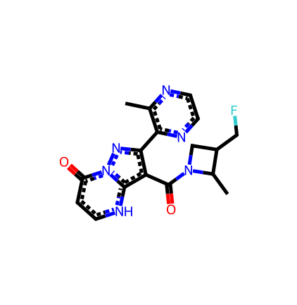 Cc1nccnc1-c1nn2c(=O)cc[nH]c2c1C(=O)N1CC(CF)C1C